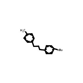 CCCCc1ccc(CCCc2ccc(C)cc2)cc1